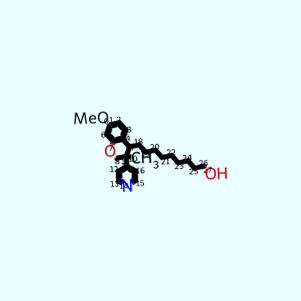 COc1ccc2c(c1)OCC(C)(c1ccncc1)C2CCCCCCCCCO